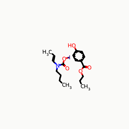 CC=CN(CCCC)C(=O)OI.CCCOC(=O)c1ccc(O)cc1